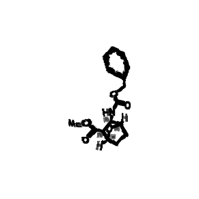 COC(=O)[C@H]1[C@@H](NC(=O)OCc2ccccc2)[C@@H]2CC[C@H]1O2